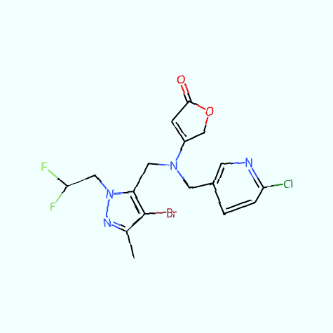 Cc1nn(CC(F)F)c(CN(Cc2ccc(Cl)nc2)C2=CC(=O)OC2)c1Br